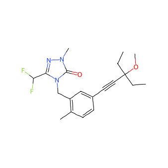 CCC(C#Cc1ccc(C)c(Cn2c(C(F)F)nn(C)c2=O)c1)(CC)OC